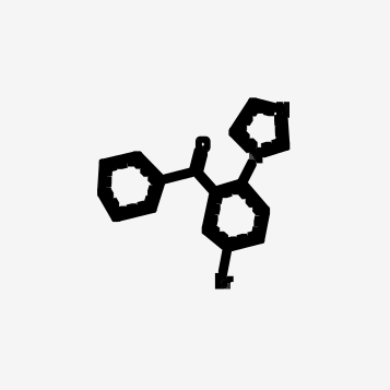 O=C(c1ccccc1)c1cc(Br)ccc1-n1ccnc1